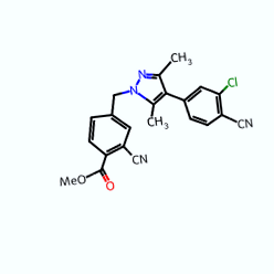 COC(=O)c1ccc(Cn2nc(C)c(-c3ccc(C#N)c(Cl)c3)c2C)cc1C#N